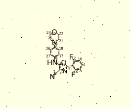 N#Cc1nc(-c2c(F)cccc2F)oc1Nc1ccc(N2CCOCC2)cc1